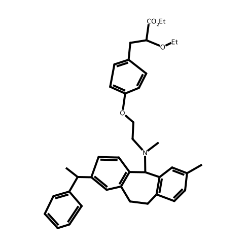 CCOC(=O)C(Cc1ccc(OCCN(C)C2c3ccc(C(C)c4ccccc4)cc3CCc3ccc(C)cc32)cc1)OCC